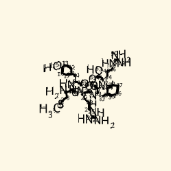 CSCC[C@H](N)C(=O)N[C@@H](Cc1ccc(O)cc1)C(=O)N[C@H](CCCNC(=N)N)C(=O)N[C@@H](Cc1ccccc1)C(=O)N[C@@H](CCCNC(=N)N)C(=O)O